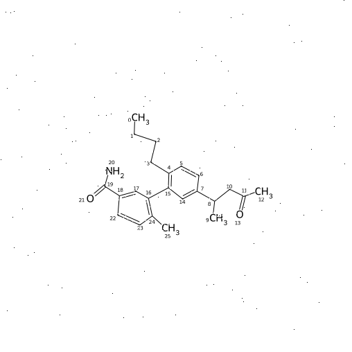 CCCCc1ccc(C(C)CC(C)=O)cc1-c1cc(C(N)=O)ccc1C